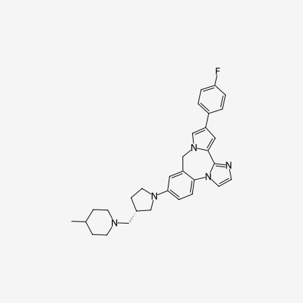 CC1CCN(C[C@@H]2CCN(c3ccc4c(c3)Cn3cc(-c5ccc(F)cc5)cc3-c3nccn3-4)C2)CC1